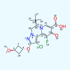 CO[C@H]1C[C@H](Oc2nn3c(c2Cl)-c2c(F)c(=O)c(C(=O)O)cn2[C@H](C(C)(C)C)C3)C1